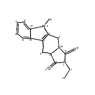 CCN1C(=O)C2Cc3c(n(C)c4ccccc34)CN2C1=O